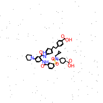 O=C(O)c1ccc(CCc2ccc(NC(=O)c3cc(N4CCCCC4)ccc3NC(=O)c3cccc(S(=O)(=O)N(CC4CC4)[C@H]4CC[C@H](C(=O)O)CC4)c3)cc2)cc1